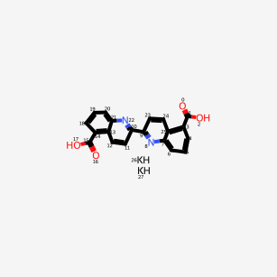 O=C(O)c1cccc2nc(-c3ccc4c(C(=O)O)cccc4n3)ccc12.[KH].[KH]